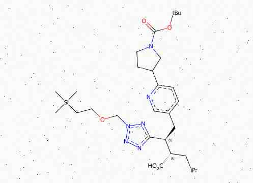 CC(C)C[C@H](C(=O)O)[C@H](Cc1ccc(C2CCN(C(=O)OC(C)(C)C)C2)nc1)c1nnn(COCC[Si](C)(C)C)n1